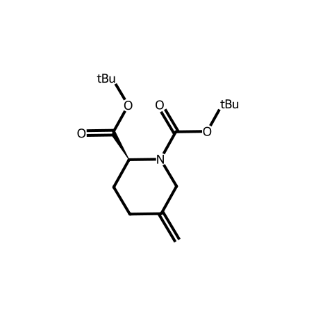 C=C1CC[C@@H](C(=O)OC(C)(C)C)N(C(=O)OC(C)(C)C)C1